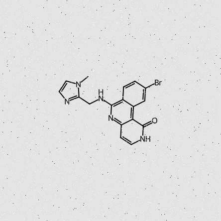 Cn1ccnc1CNc1nc2cc[nH]c(=O)c2c2cc(Br)ccc12